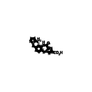 Cc1ccnn1Cc1ccc2c(c1)NC(=O)c1nc(C(=O)O)cn1C2